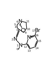 CN(N=C1CCN2CCC1CC2)c1cccc(Br)n1